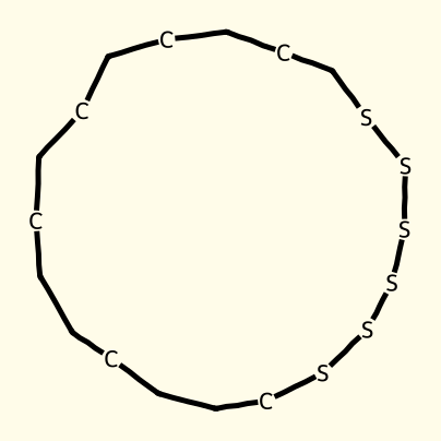 C1CCCCCCCSSSSSSCCCCCC1